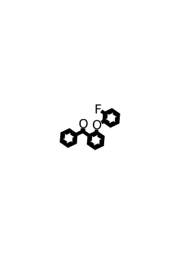 O=C(c1ccccc1)c1ccccc1Oc1ccccc1F